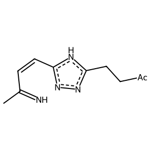 CC(=N)/C=C\c1nnc(CCC(C)=O)[nH]1